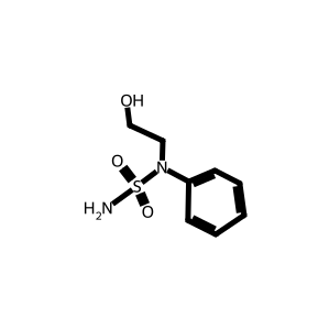 NS(=O)(=O)N(CCO)c1ccccc1